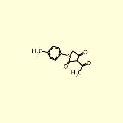 CC(=O)C1C(=O)CN(c2ccc(C)cc2)C1=O